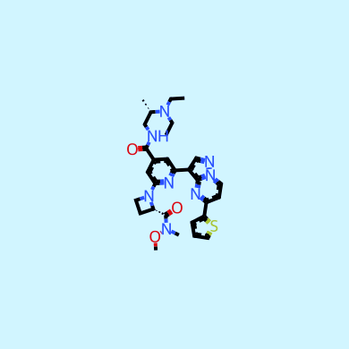 CCN(CC)[C@@H](C)CNC(=O)c1cc(-c2cnn3ccc(-c4cccs4)nc23)nc(N2CC[C@H]2C(=O)N(C)OC)c1